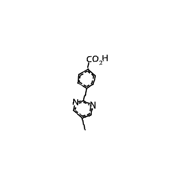 Cc1cnc(-c2ccc(C(=O)O)cc2)nc1